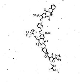 COc1cc2c(cc1OCc1cccc(COc3cc4c(cc3OC)C(=O)N3Cc5cc(NC(=O)[C@H](CCCNC(N)=O)NC(=O)[C@@H](N)C(C)C)ccc5C[C@H]3C(=O)N4COCC[Si](C)(C)C)n1)NC[C@@H]1Cc3ccccc3CN1C2=O